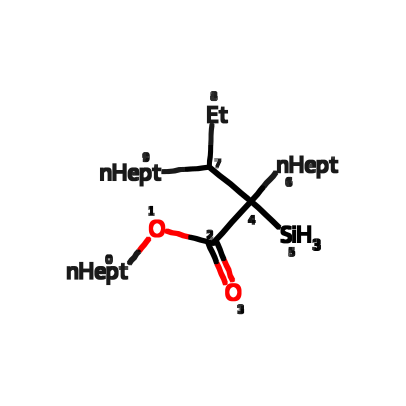 CCCCCCCOC(=O)C([SiH3])(CCCCCCC)C(CC)CCCCCCC